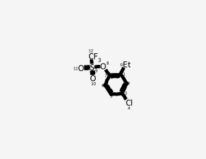 CCc1cc(Cl)ccc1OS(=O)(=O)C(F)(F)F